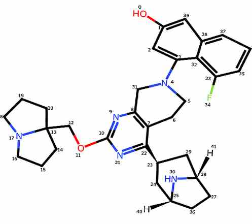 Oc1cc(N2CCc3c(nc(OCC45CCCN4CCC5)nc3[C@@H]3C[C@H]4CC[C@@H](C3)N4)C2)c2c(F)cccc2c1